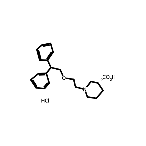 Cl.O=C(O)[C@@H]1CCCN(CCOCC(c2ccccc2)c2ccccc2)C1